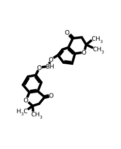 CC1(C)CC(=O)c2cc(OBOc3ccc4c(c3)C(=O)CC(C)(C)O4)ccc2O1